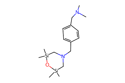 CN(C)Cc1ccc(CN2C[Si](C)(C)O[Si](C)(C)C2)cc1